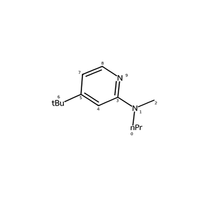 CCCN(C)c1cc(C(C)(C)C)ccn1